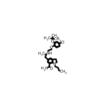 CCCCN1CCc2cc(C[C@@H](C)NCCOc3ccc(Cl)cc3OC(C)(C)C)cc(C(N)=O)c21